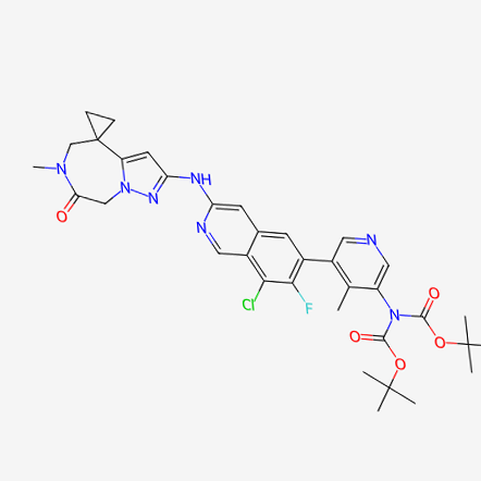 Cc1c(-c2cc3cc(Nc4cc5n(n4)CC(=O)N(C)CC54CC4)ncc3c(Cl)c2F)cncc1N(C(=O)OC(C)(C)C)C(=O)OC(C)(C)C